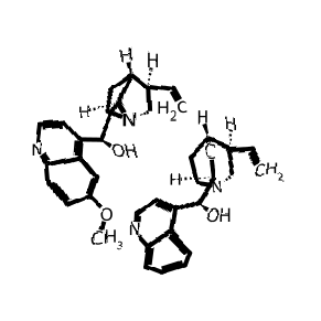 C=C[C@H]1C[N@]2CC[C@H]1C[C@@H]2[C@@H](O)c1ccnc2ccc(OC)cc12.C=C[C@H]1C[N@]2CC[C@H]1C[C@@H]2[C@@H](O)c1ccnc2ccccc12